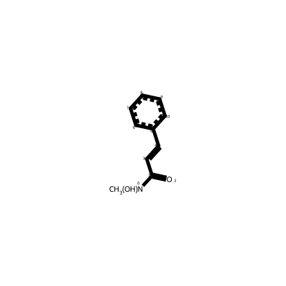 CN(O)C(=O)C=Cc1ccccc1